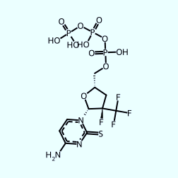 Nc1ccn([C@@H]2O[C@H](COP(=O)(O)OP(=O)(O)OP(=O)(O)O)C[C@]2(F)C(F)(F)F)c(=S)n1